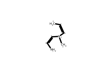 C/C=C\N(C)/C=C\N